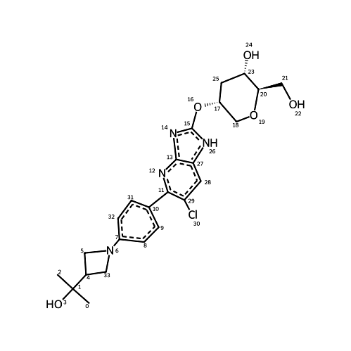 CC(C)(O)C1CN(c2ccc(-c3nc4nc(O[C@H]5CO[C@H](CO)[C@@H](O)C5)[nH]c4cc3Cl)cc2)C1